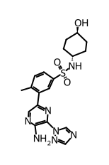 Cc1ccc(S(=O)(=O)N[C@H]2CC[C@H](O)CC2)cc1-c1cnc(N)c(-n2cncn2)n1